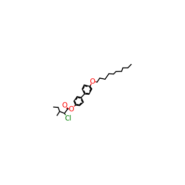 CCCCCCCCCCOc1ccc(-c2ccc(OC(=O)C(Cl)C(C)CC)cc2)cc1